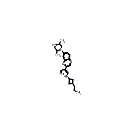 CCCC1CC(N/C=C(\C=N)c2cnc3ccc(N4CC(C)NCC4C)cc3n2)C1